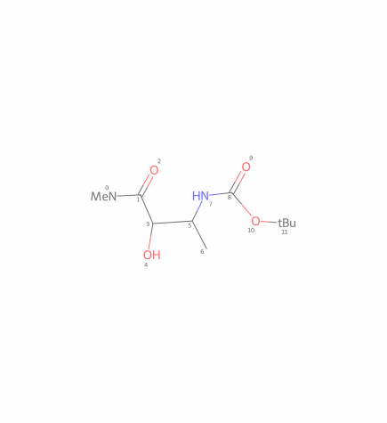 CNC(=O)C(O)C(C)NC(=O)OC(C)(C)C